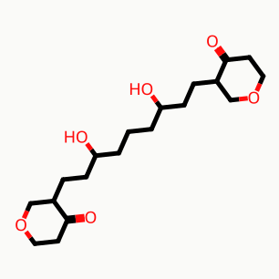 O=C1CCOCC1CCC(O)CCCC(O)CCC1COCCC1=O